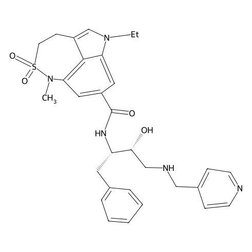 CCn1cc2c3c(cc(C(=O)N[C@@H](Cc4ccccc4)[C@H](O)CNCc4ccncc4)cc31)N(C)S(=O)(=O)CC2